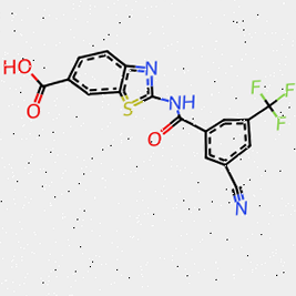 N#Cc1cc(C(=O)Nc2nc3ccc(C(=O)O)cc3s2)cc(C(F)(F)F)c1